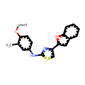 CCCCCOc1ccc(Nc2nc(-c3cc4ccccc4o3)cs2)cc1C(F)(F)F